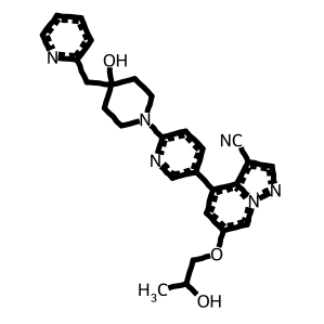 CC(O)COc1cc(-c2ccc(N3CCC(O)(Cc4ccccn4)CC3)nc2)c2c(C#N)cnn2c1